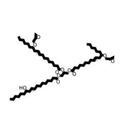 CCCCCCC(O)C/C=C/CCCCCCCC(=O)OCC(COC(=O)CCCCCCC/C=C/CC(CCCCCC)OCC1CO1)OC(=O)CCCCCCC/C=C/CC(CCCCCC)OCC1CO1